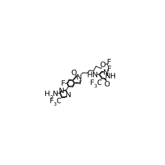 Nc1nc(-c2cc3ccn(CCCC(CCOC(F)F)Nc4cn[nH]c(=O)c4C(F)(F)F)c(=O)c3cc2F)ncc1C(F)(F)F